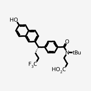 CC(C)(C)N(CCC(=O)O)C(=O)c1ccc([C@H](CCC(F)(F)F)c2ccc3cc(O)ccc3c2)cc1